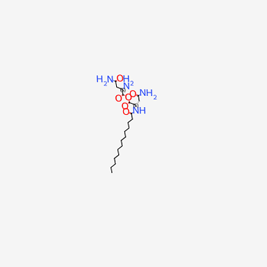 CCCCCCCCCCCCCC(=O)N[C@@H](CC(N)=O)C(=O)OC(=O)[C@@H](N)CC(N)=O